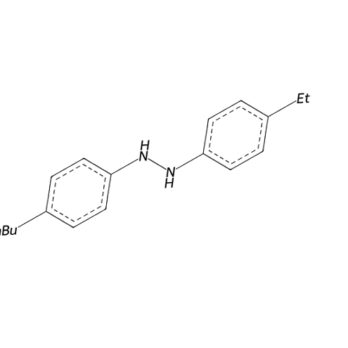 CCCCc1ccc(NNc2ccc(CC)cc2)cc1